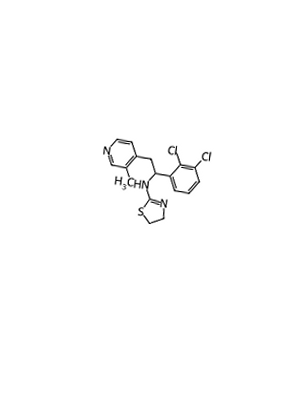 Cc1cnccc1CC(NC1=NCCS1)c1cccc(Cl)c1Cl